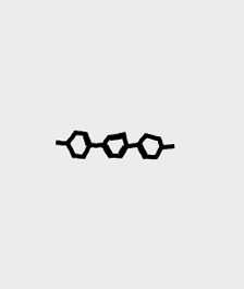 CC1CC=C(c2ccc(C3=CCC(C)CC3)cc2)CC1